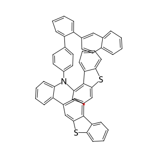 c1ccc(-c2ccc3ccccc3c2)c(-c2ccc(N(c3ccccc3-c3ccc4c(c3)sc3ccccc34)c3cccc4sc5ccccc5c34)cc2)c1